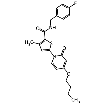 CCCCOc1ccn(-c2cc(C)c(C(=O)NCc3ccc(F)cc3)s2)c(=O)c1